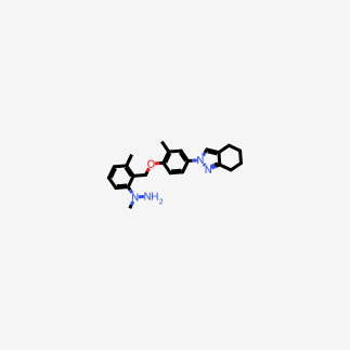 Cc1cc(-n2cc3c(n2)CCCC3)ccc1OCc1c(C)cccc1N(C)N